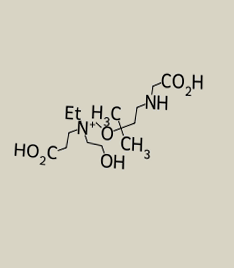 CC[N+](CCO)(CCC(=O)O)COC(C)(C)CCNCC(=O)O